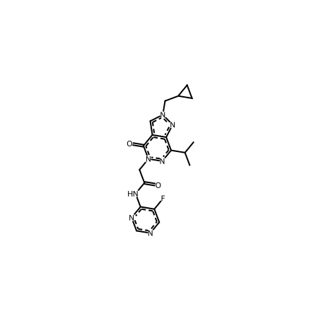 CC(C)c1nn(CC(=O)Nc2ncncc2F)c(=O)c2cn(CC3CC3)nc12